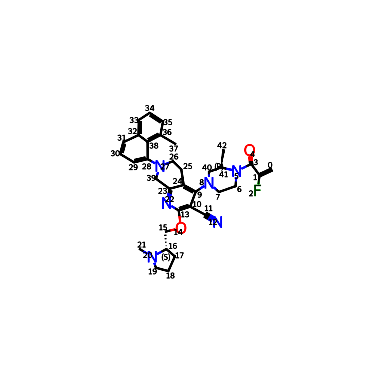 C=C(F)C(=O)N1CCN(c2c(C#N)c(OC[C@@H]3CCCN3C)nc3c2CCN(c2cccc4cccc(C)c24)C3)C[C@H]1C